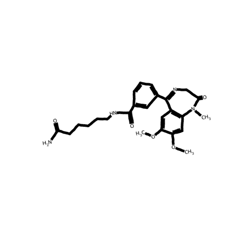 COc1cc2c(cc1OC)N(C)C(=O)CN=C2c1cccc(C(=O)NCCCCCC(N)=O)c1